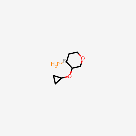 P[C@@H]1CCOCC1OC1CC1